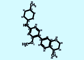 COc1nc(NC2CCC(C)CC2)ncc1-c1cnc2c(c1)OCCN2C